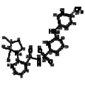 CC1CCN(c2ncccc2C(=O)NS(=O)(=O)c2cccc(Nc3ccc(C(F)(F)F)nc3)n2)C1(C)C